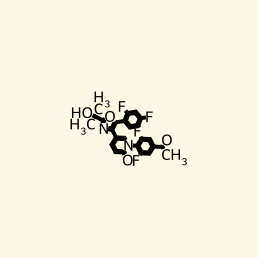 CC(=O)c1cc(F)c(-n2cc(-c3nc(C(C)(C)O)oc3-c3ccc(F)cc3F)ccc2=O)c(F)c1